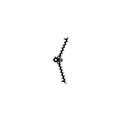 CC(C)CCCCCCCCCCCOC(=O)C1(C(=O)OCCCCCCCCCCCC(C)C)CCCCC1